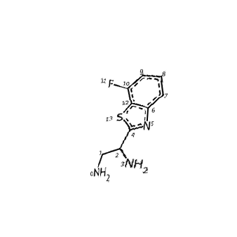 NCC(N)c1nc2cccc(F)c2s1